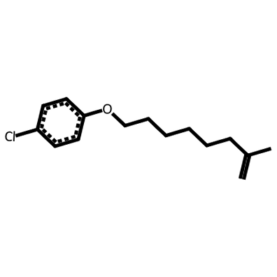 C=C(C)CCCCCCOc1ccc(Cl)cc1